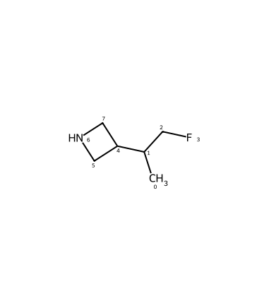 CC(CF)C1CNC1